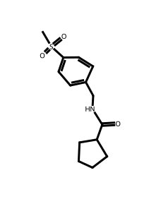 CS(=O)(=O)c1ccc(CNC(=O)C2CCCC2)cc1